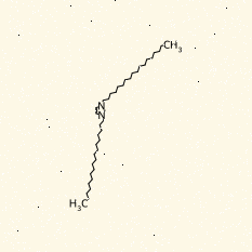 CCCCCCCCCCCCCCCCCCN1C=CN(CCCCCCCCCCCCCCCCCC)C1